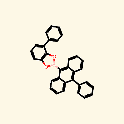 c1ccc(-c2cccc3c2OB(c2c4ccccc4c(-c4ccccc4)c4ccccc24)O3)cc1